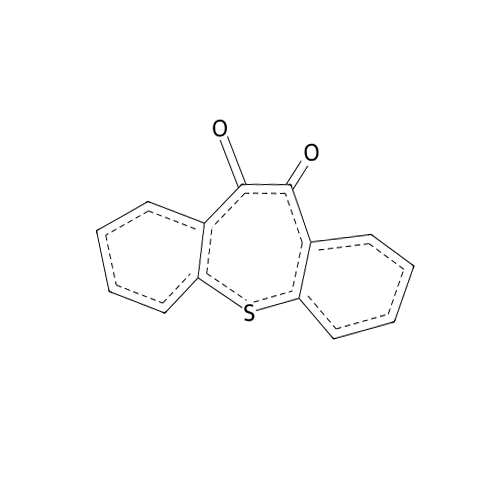 O=c1c(=O)c2ccccc2sc2ccccc12